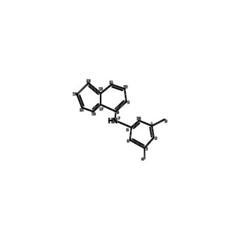 Cc1cc(C)cc(Nc2cccc3ccccc23)c1